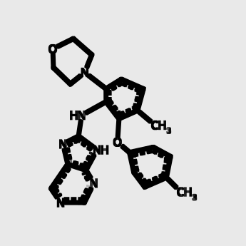 Cc1ccc(Oc2c(C)ccc(N3CCOCC3)c2Nc2nc3cncnc3[nH]2)cc1